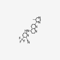 Cc1cncnc1-c1ccc2c(Nc3ccc(C(F)(F)F)c(C#N)n3)ccnc2n1